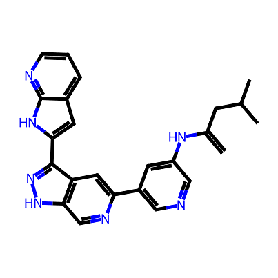 C=C(CC(C)C)Nc1cncc(-c2cc3c(-c4cc5cccnc5[nH]4)n[nH]c3cn2)c1